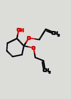 C=CCOC1(OCC=C)CCCCC1O